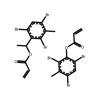 C=CC(=O)OC(C)c1c(Br)cc(Br)c(C)c1Br.C=CC(=O)Oc1c(Br)cc(Br)c(C)c1Br